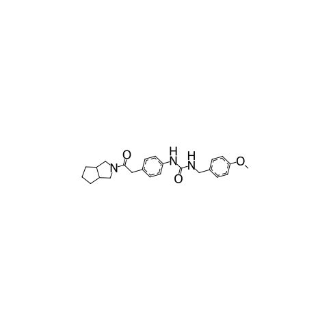 COc1ccc(CNC(=O)Nc2ccc(CC(=O)N3CC4CCCC4C3)cc2)cc1